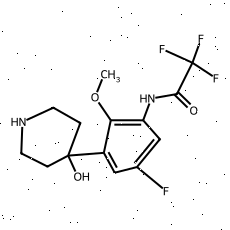 COc1c(NC(=O)C(F)(F)F)cc(F)cc1C1(O)CCNCC1